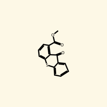 COC(=O)c1cccc2sc3ccccc3c(=O)c12